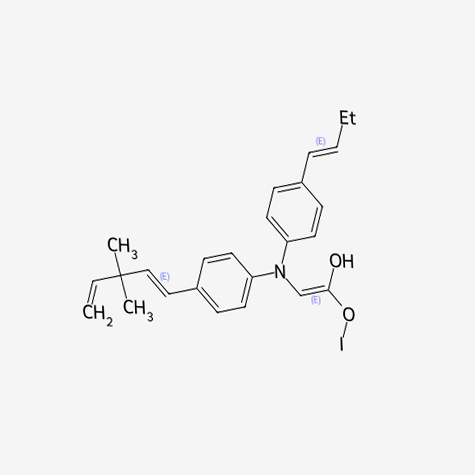 C=CC(C)(C)/C=C/c1ccc(N(/C=C(\O)OI)c2ccc(/C=C/CC)cc2)cc1